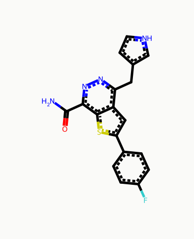 NC(=O)c1nnc(Cc2cc[nH]c2)c2cc(-c3ccc(F)cc3)sc12